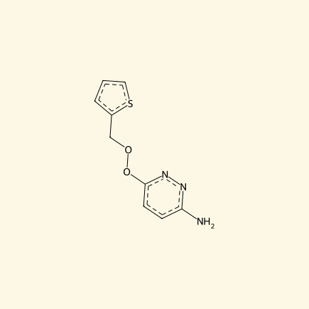 Nc1ccc(OOCc2cccs2)nn1